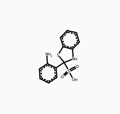 Nc1ccccc1C1(S(=O)(=O)O)Nc2ccccc2S1